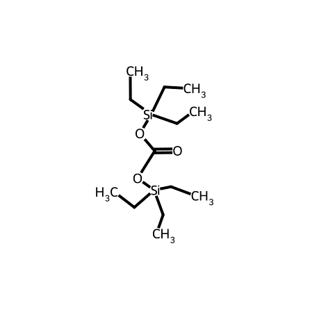 CC[Si](CC)(CC)OC(=O)O[Si](CC)(CC)CC